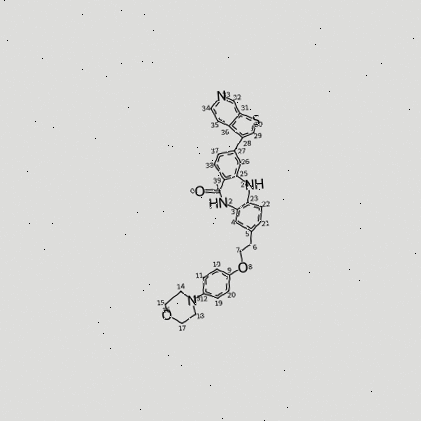 O=C1Nc2cc(CCOc3ccc(N4CCOCC4)cc3)ccc2Nc2cc(-c3csc4cnccc34)ccc21